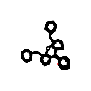 c1ccc(Cc2cccc(Cc3ccccc3)c2Oc2c(Cc3ccccc3)cccc2Cc2ccccc2)cc1